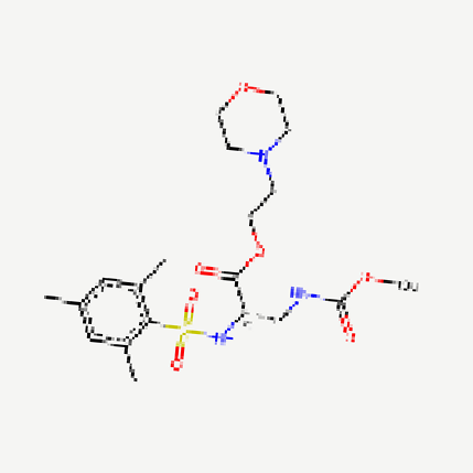 Cc1cc(C)c(S(=O)(=O)N[C@@H](CNC(=O)OC(C)(C)C)C(=O)OCCN2CCOCC2)c(C)c1